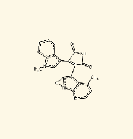 Cc1cccc2c1c(C1=C(c3cn(C)c4ccccc34)C(=O)NC1=O)c1n2O1